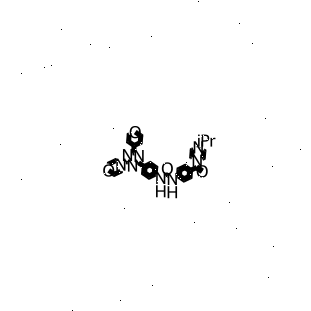 CC(C)N1CCN(C(=O)c2ccc(NC(=O)Nc3ccc(-c4nc(C5CCOCC5)nc(N5CCOCC5)n4)cc3)cc2)CC1